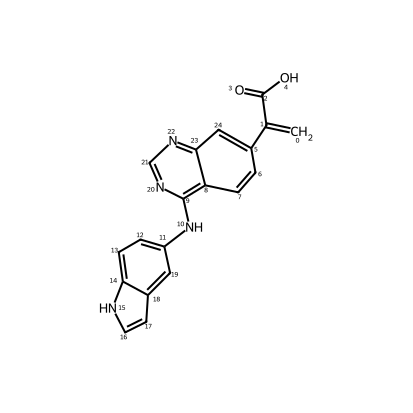 C=C(C(=O)O)c1ccc2c(Nc3ccc4[nH]ccc4c3)ncnc2c1